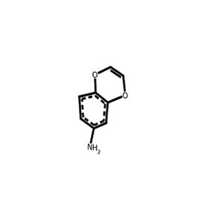 Nc1ccc2c(c1)OC=CO2